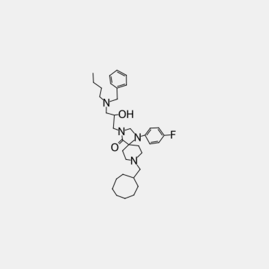 CCCCN(Cc1ccccc1)CC(O)CN1CN(c2ccc(F)cc2)C2(CCN(CC3CCCCCCC3)CC2)C1=O